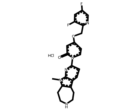 Cl.Cn1c2c(c3ccc(-n4ccc(OCc5ncc(F)cc5F)cc4=O)nc31)CCNCC2